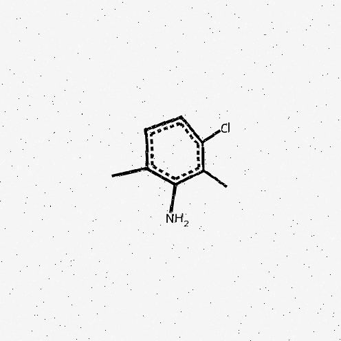 Cc1ccc(Cl)c(C)c1N